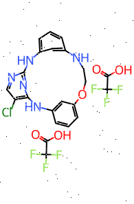 Clc1cnc2nc1Nc1cccc(c1)OCCNc1cccc(c1)N2.O=C(O)C(F)(F)F.O=C(O)C(F)(F)F